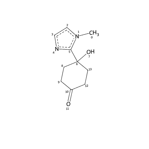 Cn1ccnc1C1(O)CCC(=O)CC1